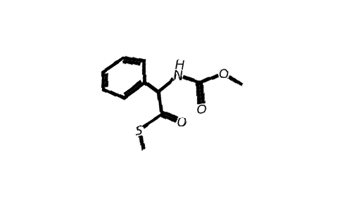 COC(=O)NC(C(=O)SC)c1ccccc1